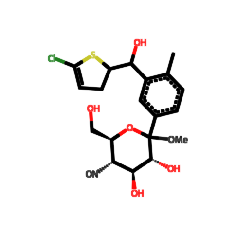 COC1(c2ccc(C)c(C(O)C3CC=C(Cl)S3)c2)O[C@H](CO)[C@@H](N=O)[C@H](O)[C@H]1O